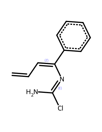 C=C/C=C(\N=C(/N)Cl)c1ccccc1